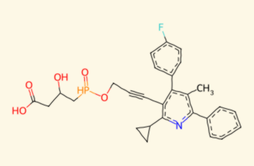 Cc1c(-c2ccccc2)nc(C2CC2)c(C#CCO[PH](=O)CC(O)CC(=O)O)c1-c1ccc(F)cc1